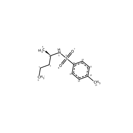 [CH2]CC[C@@H]([CH2])NS(=O)(=O)c1ccc(C)cc1